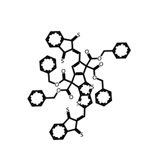 O=C(OCc1ccccc1)C1(C(=O)OCc2ccccc2)C(C=C2C(=S)c3ccccc3C2=S)=CC2=C1c1sc3cc(C=C4C(=S)c5ccccc5C4=S)sc3c1C2(C(=O)OCc1ccccc1)C(=O)OCc1ccccc1